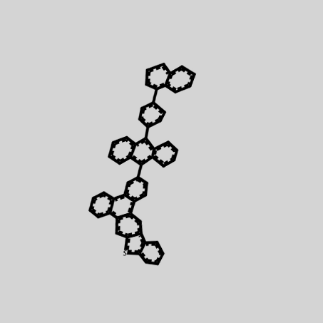 c1ccc2c(-c3ccc(-c4c5ccccc5c(-c5ccc6c(c5)c5ccccc5c5cc7sc8ccccc8c7cc65)c5ccccc45)cc3)cccc2c1